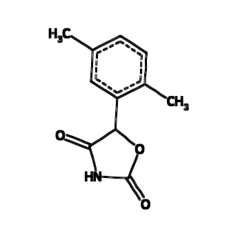 Cc1ccc(C)c(C2OC(=O)NC2=O)c1